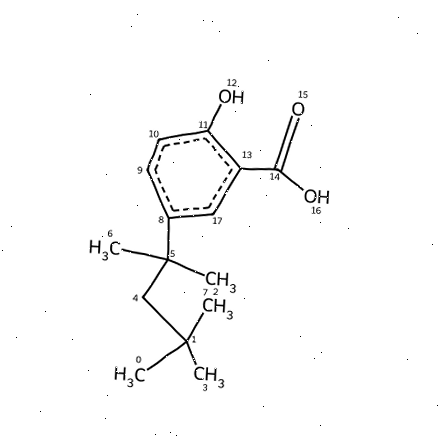 CC(C)(C)CC(C)(C)c1ccc(O)c(C(=O)O)c1